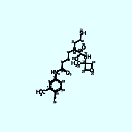 Cc1cc(NC(=O)CCCN(CCS)S(=O)(=O)NC2(C)COC2)ccc1F